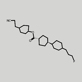 N#CCCC1CCC(OC(=O)[C@H]2CC[C@H](C3CCC(CCCF)CC3)CC2)CC1